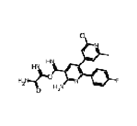 Cc1cc(-c2cc(C(=N)OC(=N)C(N)=O)c(N)nc2-c2ccc(F)cc2)cc(Cl)n1